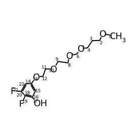 COCCCOCOCCOCCOc1cc(O)c(F)c(F)c1